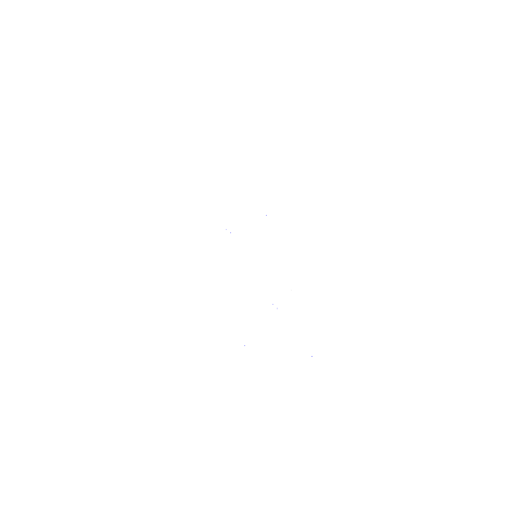 C[C@@H]1COCCN1c1ccncc1NC(=O)c1ccnc(Nc2ccc(CF)cn2)c1